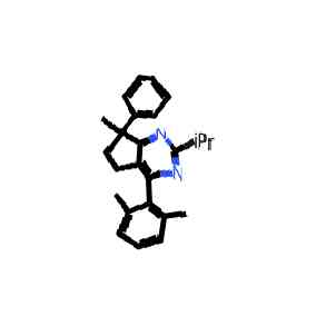 Cc1cccc(C)c1-c1nc(C(C)C)nc2c1CCC2(C)c1ccccc1